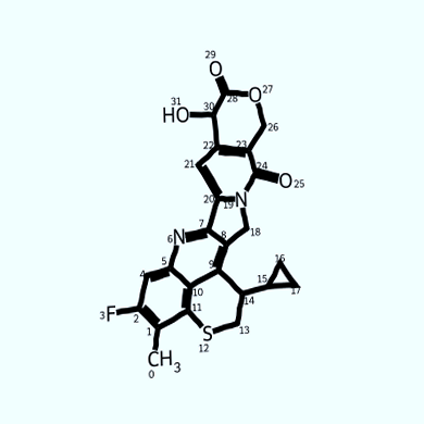 Cc1c(F)cc2nc3c(c4c2c1SCC4C1CC1)Cn1c-3cc2c(c1=O)COC(=O)C2O